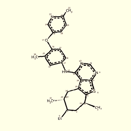 CCC1C[C@H](C)c2sc3ncnc(Nc4ccc(Oc5ccc(C)nc5)c(C)c4)c3c2C[C@H]1C